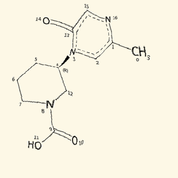 Cc1cn([C@@H]2CCCN(C(=O)O)C2)c(=O)cn1